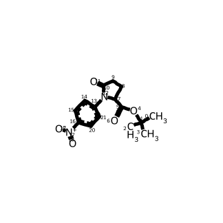 CC(C)(C)OC(=O)C1CCC(=O)N1c1ccc([N+](=O)[O-])cc1